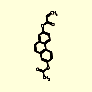 C=CC(=O)Oc1ccc2c(ccc3cc(OC(C)=O)ccc32)c1